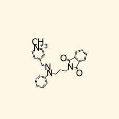 C[n+]1ccc(/C=N/N(CCCN2C(=O)c3ccccc3C2=O)c2ccccc2)cc1